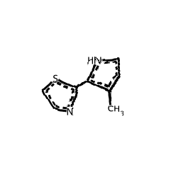 Cc1cc[nH]c1-c1nccs1